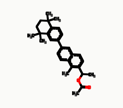 CC(=O)OC(C)c1ccc2cc(-c3ccc4c(c3)C(C)(C)CCC4(C)C)ccc2c1C